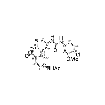 COc1cc(NC(=O)Nc2ccc3oc(=O)c4ccc(NC(C)=O)cc4c3c2)ccc1Cl